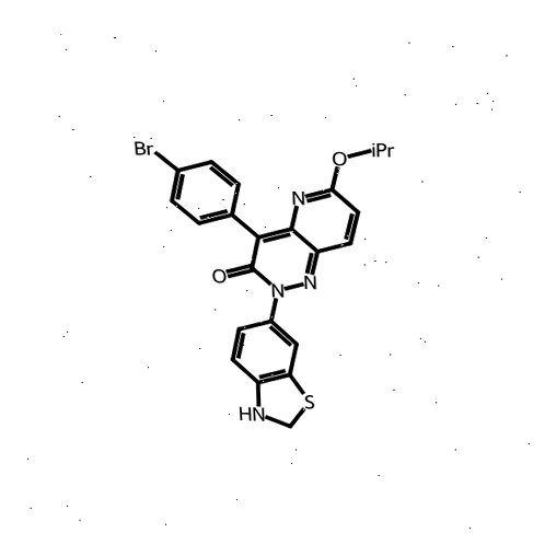 CC(C)Oc1ccc2nn(-c3ccc4c(c3)SCN4)c(=O)c(-c3ccc(Br)cc3)c2n1